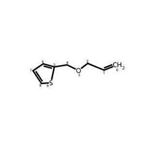 C=CCOCc1cccs1